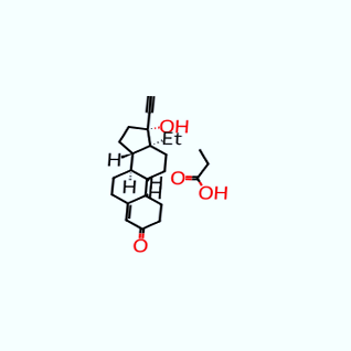 C#C[C@]1(O)CC[C@H]2[C@@H]3CCC4=CC(=O)CC[C@@H]4[C@H]3CC[C@@]21CC.CCC(=O)O